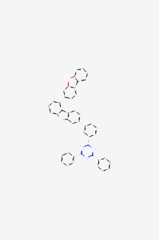 c1ccc(-c2nc(-c3ccccc3)nc(-c3cccc(-c4ccc5c(c4)sc4cccc(-c6ccc7c(c6)oc6ccccc67)c45)c3)n2)cc1